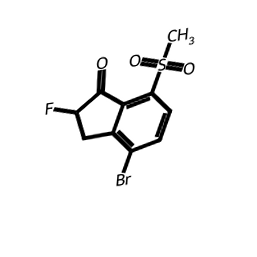 CS(=O)(=O)c1ccc(Br)c2c1C(=O)C(F)C2